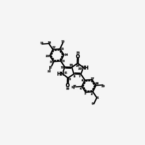 CCc1cc(F)c(C2=C3C(=O)NC(c4cc(C)c(CC)cc4F)=C3C(=O)N2)cc1C